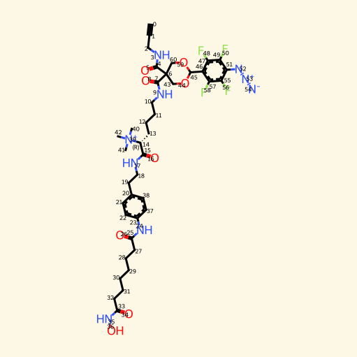 C#CCNC(=O)C1(C(=O)NCCCC[C@H](C(=O)NCCc2ccc(NC(=O)CCCCCCC(=O)NO)cc2)[N+](C)(C)C)COC(c2c(F)c(F)c(N=[N+]=[N-])c(F)c2F)OC1